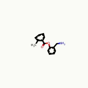 Cc1ccccc1C(=O)Oc1ccccc1CN